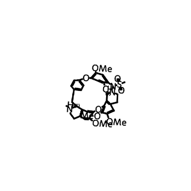 COc1cc2c3cc1Oc1ccc(cc1)C[C@H]1c4cc(c(OC)cc4CCN1C)Oc1c(OC)c(OC)cc4c1[C@H](C3)N(CC4)N2S(C)(=O)=O